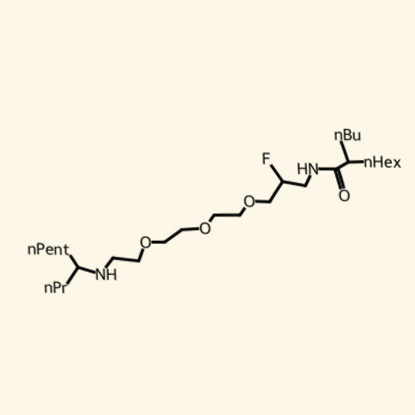 CCCCCCC(CCCC)C(=O)NCC(F)COCCOCCOCCNC(CCC)CCCCC